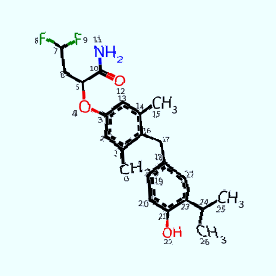 Cc1cc(OC(CC(F)F)C(N)=O)cc(C)c1Cc1ccc(O)c(C(C)C)c1